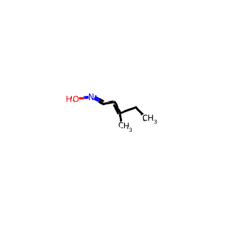 CC/C(C)=C/C=N/O